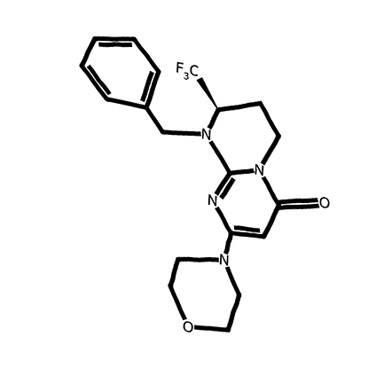 O=c1cc(N2CCOCC2)nc2n1CC[C@H](C(F)(F)F)N2Cc1ccccc1